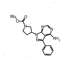 CC(C)(C)OC(=O)N1CCC(n2nc(-c3ccccc3)c3c(N)ncnc32)C1